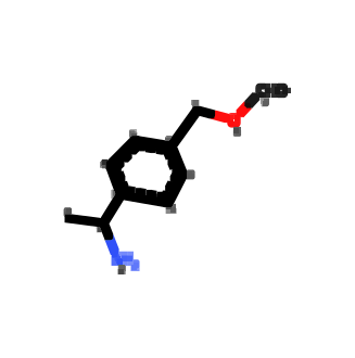 CC(N)c1ccc(CO[C]=O)cc1